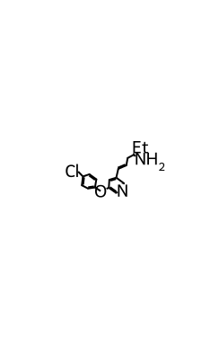 CCC(N)CC=Cc1cncc(Oc2ccc(Cl)cc2)c1